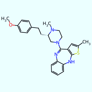 COc1ccc(CC[C@H]2CN(C3=Nc4ccccc4Nc4sc(C)cc43)CCN2C)cc1